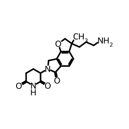 CC1(CCCN)COc2c1ccc1c2CN(C2CCC(=O)NC2=O)C1=O